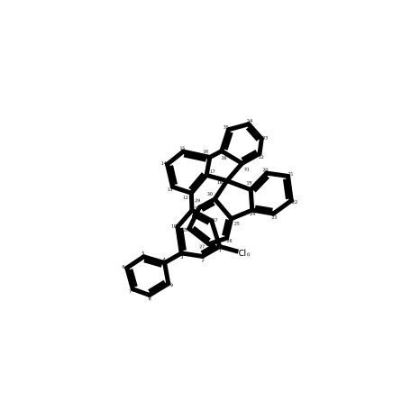 Clc1cc(-c2ccccc2)cc(-c2cccc3c2C2(c4ccccc4-c4ccccc42)c2ccccc2-3)c1